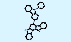 c1ccc(-n2c3ccccc3c3cc(-c4cc5[nH]c6ccccc6c5c5sc6ccccc6c45)ccc32)cc1